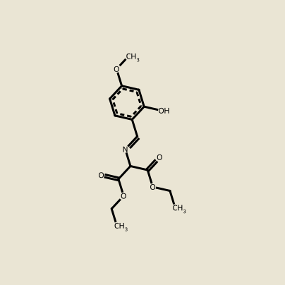 CCOC(=O)C(N=Cc1ccc(OC)cc1O)C(=O)OCC